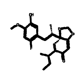 CCC(C)C1C[C@]2([C@@H](C)Cc3cc(O)c(OC)cc3F)OCOC2=CC1=O